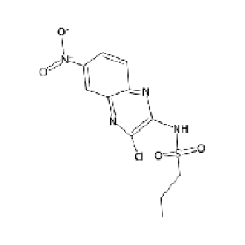 CCCS(=O)(=O)Nc1nc2ccc([N+](=O)[O-])cc2nc1Cl